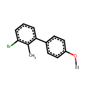 [CH2]COc1ccc(-c2cccc(Br)c2C)cc1